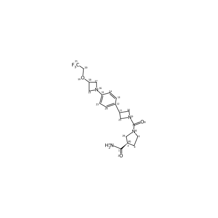 NC(=O)[C@@H]1CCN(C(=O)N2CC(c3ccc(N4CC(OCC(F)(F)F)C4)cc3)C2)C1